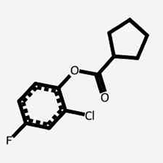 O=C(Oc1ccc(F)cc1Cl)C1CCCC1